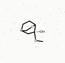 CO[C@@]1(O)CN2CCC1CC2